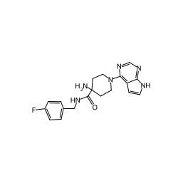 NC1(C(=O)NCc2ccc(F)cc2)CCN(c2ncnc3[nH]ccc23)CC1